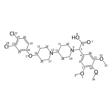 COc1cc(C(C(=O)O)N2CCC(N3CCC(Oc4ccc(Cl)c(Cl)c4)CC3)CC2)cc(OC)c1OC